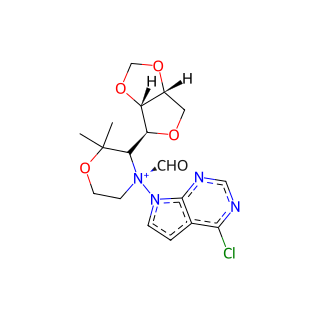 CC1(C)OCC[N@@+](C=O)(n2ccc3c(Cl)ncnc32)C1[C@@H]1OC[C@H]2OCO[C@H]21